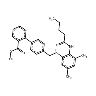 CCCCC(=O)Nc1c(C)cc(C)nc1NCc1ccc(-c2ccccc2C(=O)OC)cc1